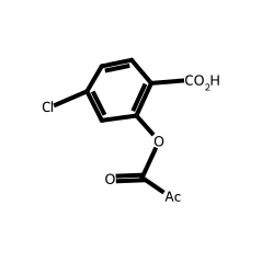 CC(=O)C(=O)Oc1cc(Cl)ccc1C(=O)O